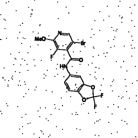 COc1ncc(Br)c(C(=O)Nc2ccc3c(c2)OC(F)(F)O3)c1F